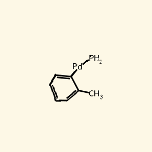 Cc1cccc[c]1[Pd][PH2]